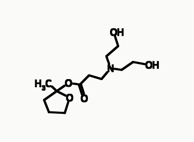 CC1(OC(=O)CCN(CCO)CCO)CCCO1